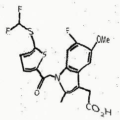 COc1cc2c(CC(=O)O)c(C)n(C(=O)c3ccc(SC(F)F)s3)c2cc1F